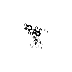 COc1ccc(NC(=O)OC(C)(C)C)c2c1C(=O)N(C1CCC(=O)NC1=O)C2=O